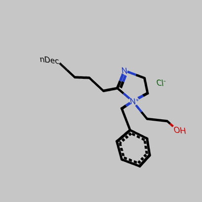 CCCCCCCCCCCCCC1=NCC[N+]1(CCO)Cc1ccccc1.[Cl-]